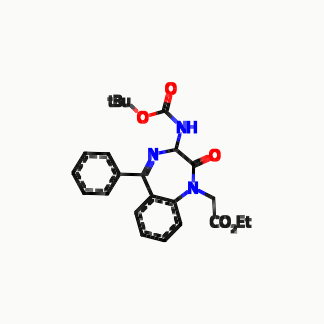 CCOC(=O)CN1C(=O)C(NC(=O)OC(C)(C)C)N=C(c2ccccc2)c2ccccc21